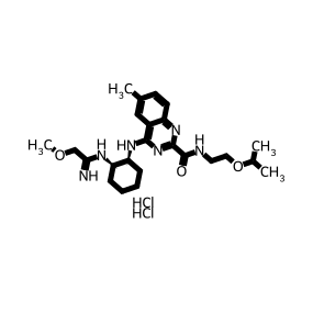 COCC(=N)N[C@@H]1CCCC[C@@H]1Nc1nc(C(=O)NCCOC(C)C)nc2ccc(C)cc12.Cl.Cl